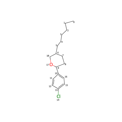 CCCCCCC1CCC(c2ccc(Cl)cc2)OC1